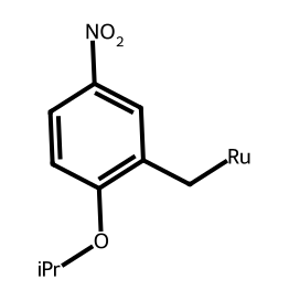 CC(C)Oc1ccc([N+](=O)[O-])cc1[CH2][Ru]